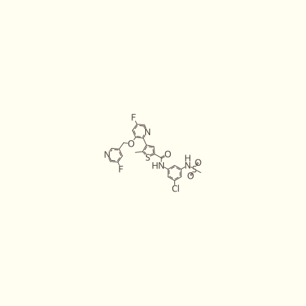 Cc1sc(C(=O)Nc2cc(Cl)cc(NS(C)(=O)=O)c2)cc1-c1ncc(F)cc1OCc1cncc(F)c1